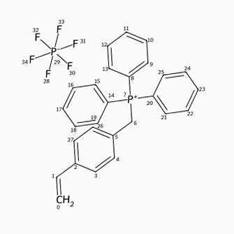 C=Cc1ccc(C[P+](c2ccccc2)(c2ccccc2)c2ccccc2)cc1.F[P-](F)(F)(F)(F)F